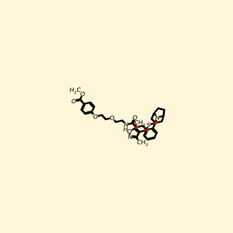 COC(=O)c1ccc(OCCOCCNC(=O)CCc2ccccc2C2CC3CCC(C2)N3CSCc2c(C)noc2C)cc1